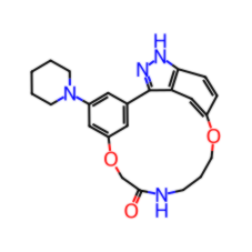 O=C1COc2cc(cc(N3CCCCC3)c2)-c2n[nH]c3ccc(cc23)OCCCN1